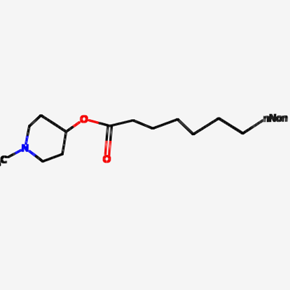 CCCCCCCCCCCCCCCC(=O)OC1CCN(C)CC1